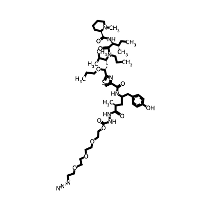 CCCO[C@H](C[C@H](C(C)C)N(CCC)C(=O)[C@@H](NC(=O)[C@H]1CCCCN1C)[C@@H](C)CC)c1nc(C(=O)NC(Cc2ccc(O)cc2)C[C@H](C)C(=O)NNC(=O)OCCOCCOCCOCCN=[N+]=[N-])cs1